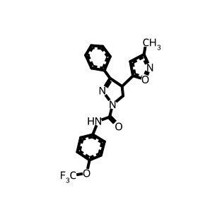 Cc1cc(C2CN(C(=O)Nc3ccc(OC(F)(F)F)cc3)N=C2c2ccccc2)on1